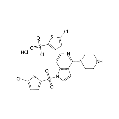 Cl.O=S(=O)(Cl)c1ccc(Cl)s1.O=S(=O)(c1ccc(Cl)s1)n1ccc2c(N3CCNCC3)nccc21